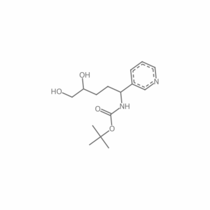 CC(C)(C)OC(=O)NC(CCC(O)CO)c1cccnc1